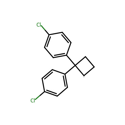 Clc1ccc(C2(c3ccc(Cl)cc3)[CH]CC2)cc1